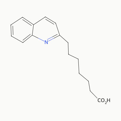 O=C(O)CCCCCCc1ccc2ccccc2n1